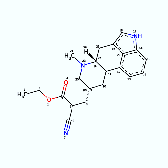 CCOC(=O)C(C#N)C[C@H]1CC2c3cccc4[nH]cc(c34)C[C@H]2N(C)C1